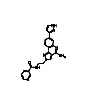 Nc1nc2cc(-c3cc[nH]n3)ccc2c2nn(CCNC(=O)c3cccnc3)cc12